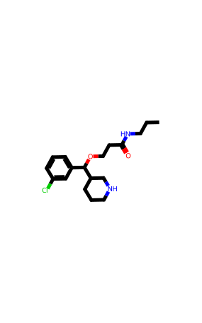 CCCNC(=O)CCOC(c1cccc(Cl)c1)C1CCCNC1